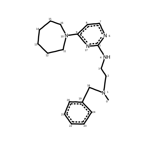 CN(CCNc1nccc(N2CCCCCC2)n1)Cc1ccccc1